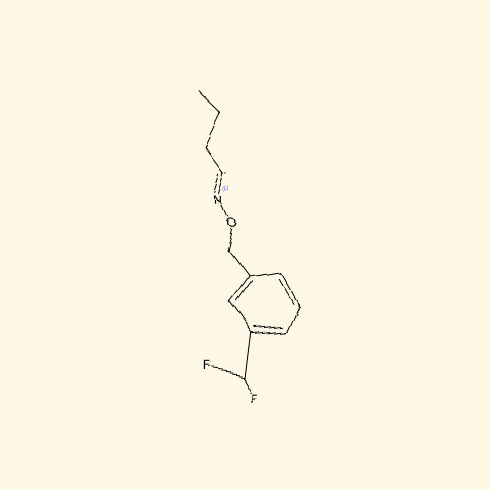 CCC/[C]=N/OCc1cccc(C(F)F)c1